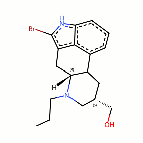 CCCN1C[C@@H](CO)CC2c3cccc4[nH]c(Br)c(c34)C[C@H]21